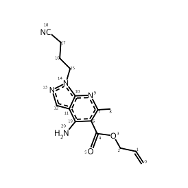 C=CCOC(=O)c1c(C)nc2c(cnn2CCCC#N)c1N